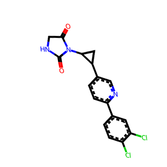 O=C1CNC(=O)N1C1CC1c1ccc(-c2ccc(Cl)c(Cl)c2)nc1